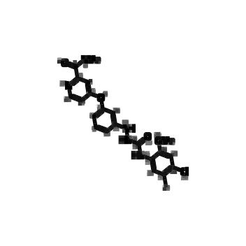 CNC(=O)c1cc(Oc2cccc(NNC(=O)Nc3cc(C)c(Cl)cc3OC)c2)ccn1